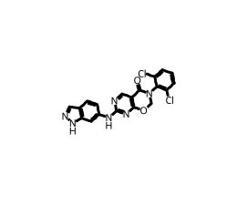 O=C1c2cnc(Nc3ccc4cn[nH]c4c3)nc2OCN1c1c(Cl)cccc1Cl